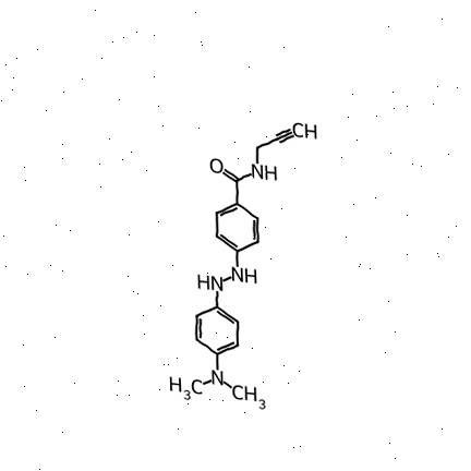 C#CCNC(=O)c1ccc(NNc2ccc(N(C)C)cc2)cc1